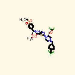 CCS(=O)(=O)c1ccc([C@H](COC)NC(=O)c2cnc(N3CCN(Cc4ccc(C(F)(F)F)cc4)C[C@H]3COC(F)F)s2)cc1